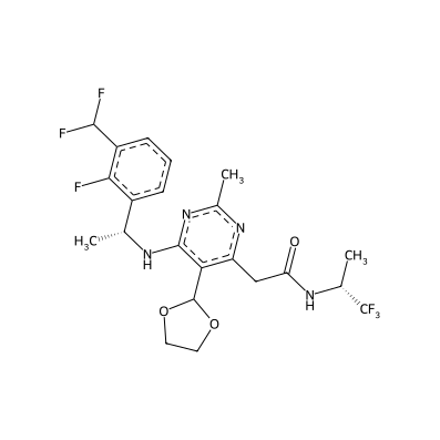 Cc1nc(CC(=O)N[C@H](C)C(F)(F)F)c(C2OCCO2)c(N[C@H](C)c2cccc(C(F)F)c2F)n1